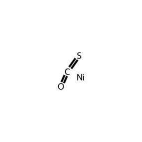 O=C=S.[Ni]